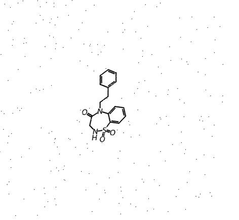 O=C1CNS(=O)(=O)c2ccccc2N1CCc1ccccc1